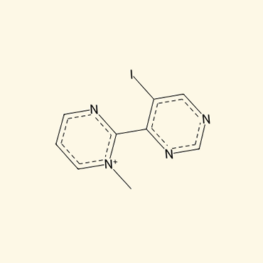 C[n+]1cccnc1-c1ncncc1I